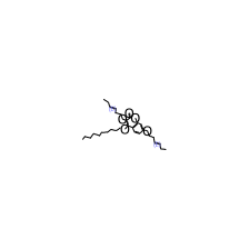 CC/C=C/CCOc1ccc2c(OCCCCCCCCCC)c(OCC/C=C/CC)c(=O)oc2c1